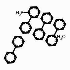 O.Pc1ccccc1-c1ccccc1.c1ccc(-c2ccccc2)cc1.c1ccc(-c2ccccc2)cc1.c1ccc(-c2ccccc2)cc1